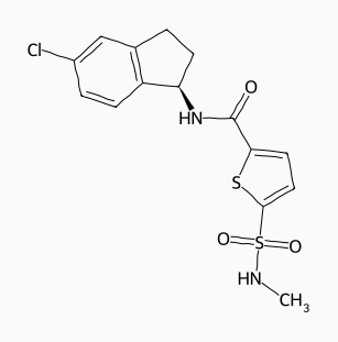 CNS(=O)(=O)c1ccc(C(=O)N[C@@H]2CCc3cc(Cl)ccc32)s1